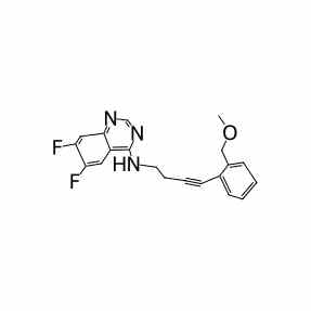 COCc1ccccc1C#CCCNc1ncnc2cc(F)c(F)cc12